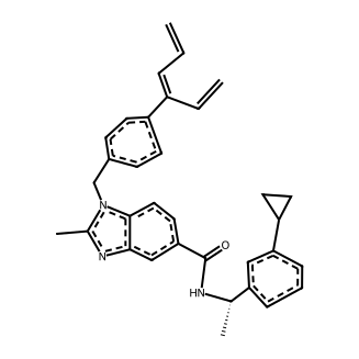 C=C/C=C(\C=C)c1ccc(Cn2c(C)nc3cc(C(=O)N[C@@H](C)c4cccc(C5CC5)c4)ccc32)cc1